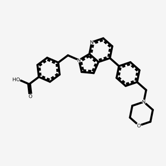 O=C(O)c1ccc(Cn2ccc3c(-c4ccc(CN5CCOCC5)cc4)ccnc32)cc1